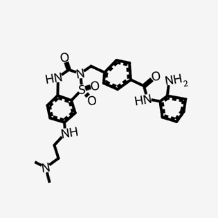 CN(C)CCNc1ccc2c(c1)S(=O)(=O)N(Cc1ccc(C(=O)Nc3ccccc3N)cc1)C(=O)N2